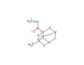 C=CC(=O)C12CC3CC(CC(C)(C3)C1)C2